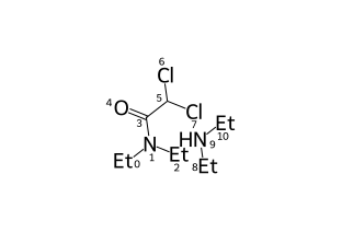 CCN(CC)C(=O)C(Cl)Cl.CCNCC